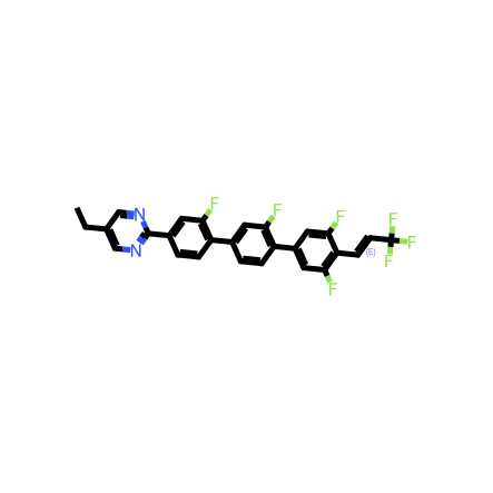 CCc1cnc(-c2ccc(-c3ccc(-c4cc(F)c(/C=C/C(F)(F)F)c(F)c4)c(F)c3)c(F)c2)nc1